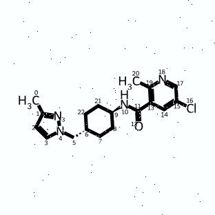 Cc1ccn(C[C@H]2CC[C@H](NC(=O)c3cc(Cl)cnc3C)CC2)n1